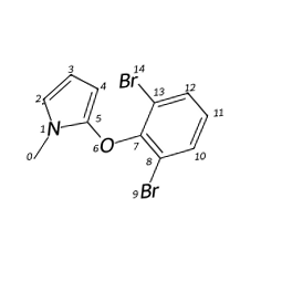 Cn1[c]ccc1Oc1c(Br)cccc1Br